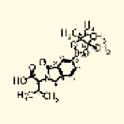 CC(C)C(C(=O)O)N1Cc2ccc(B3OC(C)(C)C(C)(C)O3)cc2C1=O